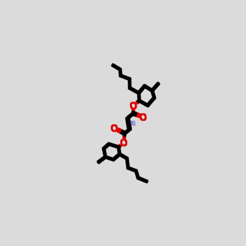 CCCCCC1CC(C)CCC1OC(=O)/C=C/C(=O)OC1CCC(C)CC1CCCCC